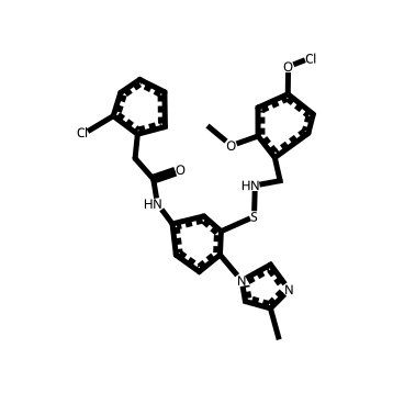 COc1cc(OCl)ccc1CNSc1cc(NC(=O)Cc2ccccc2Cl)ccc1-n1cnc(C)c1